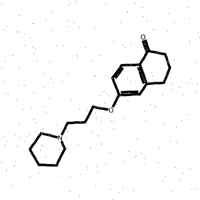 O=C1CCCc2cc(OCCCN3CCCCC3)ccc21